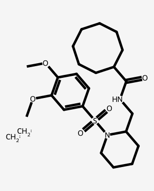 COc1ccc(S(=O)(=O)N2CCCCC2CNC(=O)[C]2CCCCCCC2)cc1OC.[CH2].[CH2]